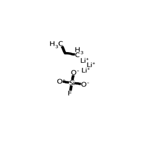 CCC.[Li+].[Li+].[Li+].[O-][Si]([O-])([O-])F